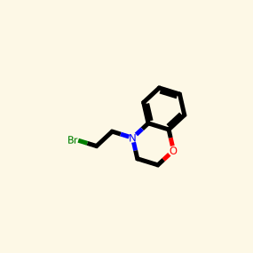 BrCCN1CCOc2ccccc21